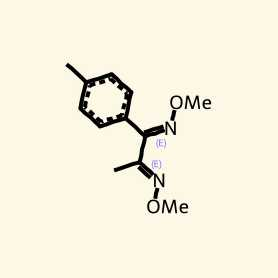 CO/N=C(C)/C(=N/OC)c1ccc(C)cc1